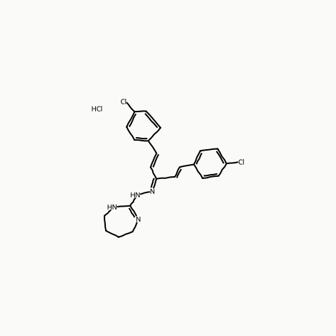 Cl.Clc1ccc(C=CC(C=Cc2ccc(Cl)cc2)=NNC2=NCCCCN2)cc1